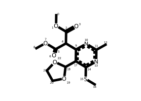 COC(=O)C(C(=O)OC)c1nc(C)nc(SC)c1C1OCCO1